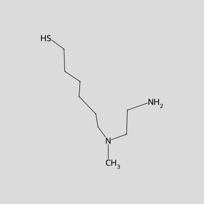 CN(CCN)CCCCCCS